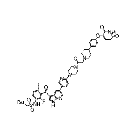 CC[C@H](C)CS(=O)(=O)Nc1ccc(F)c(C(=O)c2c[nH]c3ncc(-c4ccc(N5CCN(C(=O)CN6CCC(c7ccc(OC8=CCC(=O)NC8=O)cc7)CC6)CC5)nc4)cc23)c1F